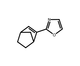 C1=C(c2ncco2)C2CCC1C2